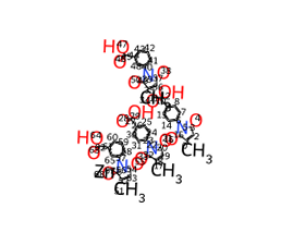 CC1=CC(=O)N(c2ccc(C(=O)O)cc2)C1=O.CC1=CC(=O)N(c2ccc(C(=O)O)cc2)C1=O.CC1=CC(=O)N(c2cccc(C(=O)O)c2)C1=O.CC1=CC(=O)N(c2cccc(C(=O)O)c2)C1=O.[Zn]